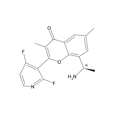 Cc1cc([C@@H](C)N)c2oc(-c3c(F)ccnc3F)c(C)c(=O)c2c1